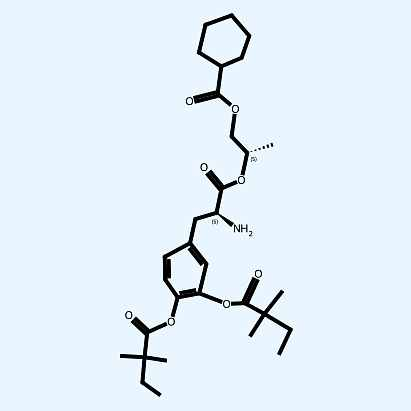 CCC(C)(C)C(=O)Oc1ccc(C[C@H](N)C(=O)O[C@@H](C)COC(=O)C2CCCCC2)cc1OC(=O)C(C)(C)CC